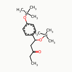 CCC(=O)CC(O[Si](C)(C)C)c1ccc(O[Si](C)(C)C)cc1